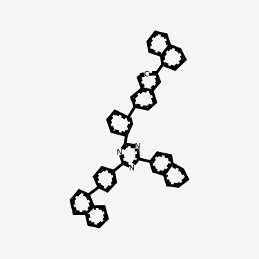 c1cc(-c2ccc3cc(-c4cccc5ccccc45)ccc3c2)cc(-c2nc(-c3ccc(-c4cccc5ccccc45)cc3)nc(-c3ccc4ccccc4c3)n2)c1